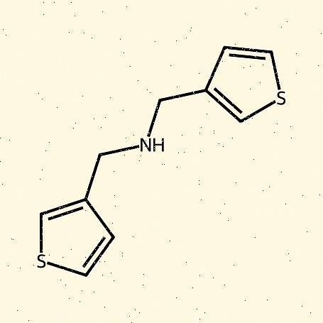 c1cc(CNCc2ccsc2)cs1